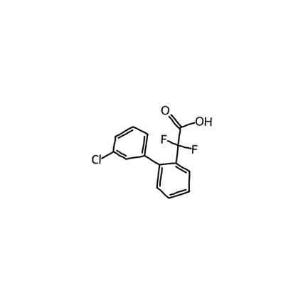 O=C(O)C(F)(F)c1ccccc1-c1cccc(Cl)c1